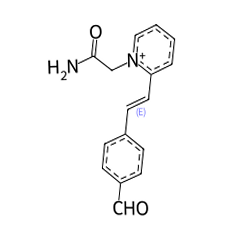 NC(=O)C[n+]1ccccc1/C=C/c1ccc(C=O)cc1